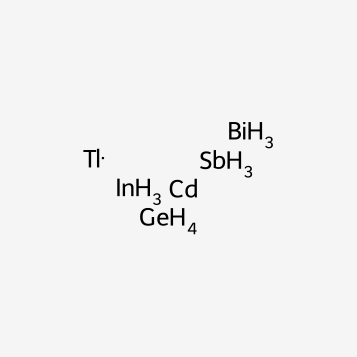 [BiH3].[Cd].[GeH4].[InH3].[SbH3].[Tl]